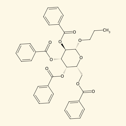 CCCO[C@@H]1O[C@H](COC(=O)c2ccccc2)[C@H](OC(=O)c2ccccc2)[C@H](OC(=O)c2ccccc2)[C@H]1OC(=O)c1ccccc1